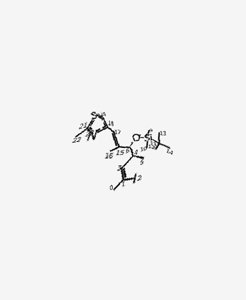 C/C(I)=C/[C@H](C)[C@H](O[Si](C)(C)C(C)(C)C)/C(C)=C/c1csc(C)n1